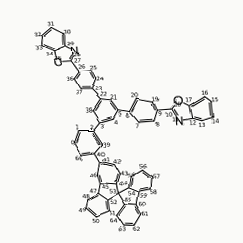 c1cc(-c2cc(-c3ccc(-c4nc5ccccc5o4)cc3)cc(-c3ccc(-c4nc5ccccc5o4)cc3)c2)cc(-c2ccc3c(c2)-c2ccccc2C32c3ccccc3-c3ccccc32)c1